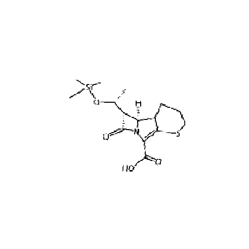 C[C@@H](O[Si](C)(C)C)[C@H]1C(=O)N2C(C(=O)O)=C3SCCCC3[C@H]12